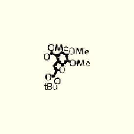 COC(=O)c1cc(OC)c(OC)c2oc(C(=O)OC(C)(C)C)cc12